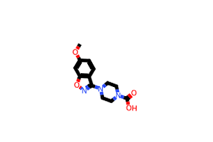 COc1ccc2c(N3CCN(C(=O)O)CC3)noc2c1